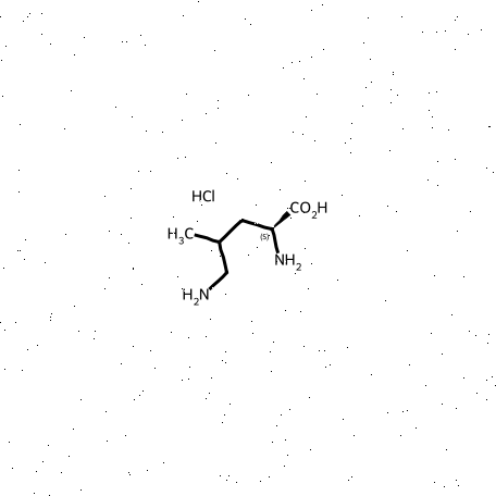 CC(CN)C[C@H](N)C(=O)O.Cl